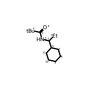 CCC(NC(=O)C(C)(C)C)C1CCCCC1